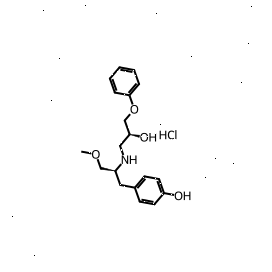 COC[C@H](Cc1ccc(O)cc1)NC[C@H](O)COc1ccccc1.Cl